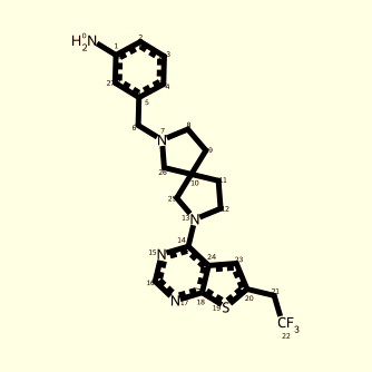 Nc1cccc(CN2CCC3(CCN(c4ncnc5sc(CC(F)(F)F)cc45)C3)C2)c1